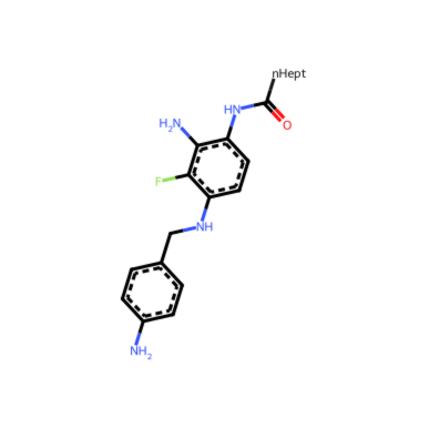 CCCCCCCC(=O)Nc1ccc(NCc2ccc(N)cc2)c(F)c1N